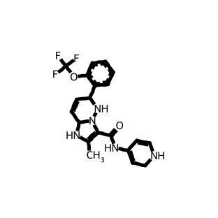 CC1=C(C(=O)NC2=CCNC=C2)N2NC(c3ccccc3OC(F)(F)F)C=CC2N1